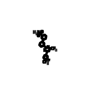 NS(=O)(=O)c1cccc(-c2cccc(-c3nc(-c4ccc(C(F)(F)F)c(F)c4)cc(C(F)(F)F)n3)c2)c1